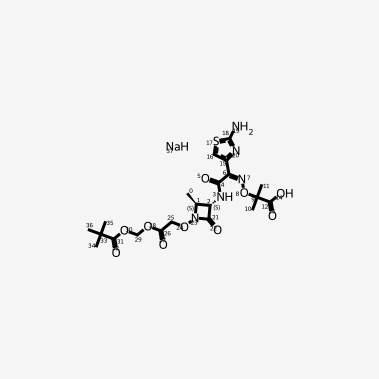 C[C@H]1[C@H](NC(=O)C(=NOC(C)(C)C(=O)O)c2csc(N)n2)C(=O)N1OCC(=O)OCOC(=O)C(C)(C)C.[NaH]